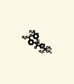 C[C@@H](Oc1cc(Cl)cnc1N)c1cccc(NC(=O)c2cnn(C(C)(C)C)c2)c1